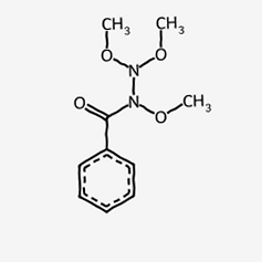 CON(OC)N(OC)C(=O)c1ccccc1